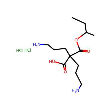 CCC(C)OC(=O)C(CCCN)(CCCN)C(=O)O.Cl.Cl